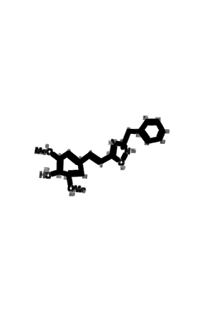 COc1cc(/C=C/c2nc(Cc3ccccc3)no2)cc(OC)c1O